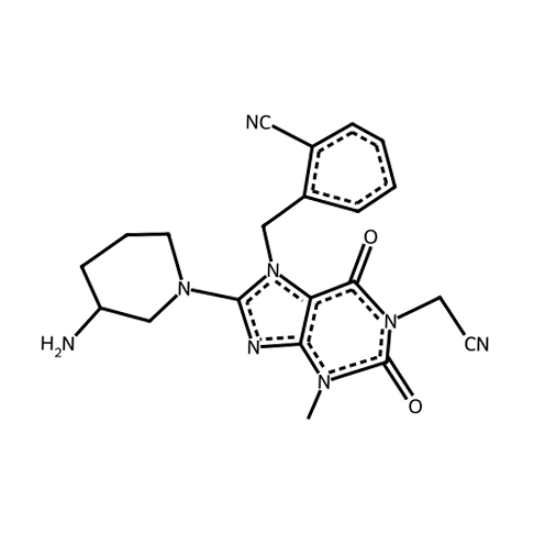 Cn1c(=O)n(CC#N)c(=O)c2c1nc(N1CCCC(N)C1)n2Cc1ccccc1C#N